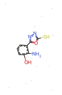 Nc1c(O)cccc1-c1nnc(S)o1